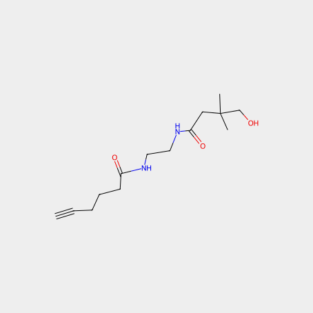 C#CCCCC(=O)NCCNC(=O)CC(C)(C)CO